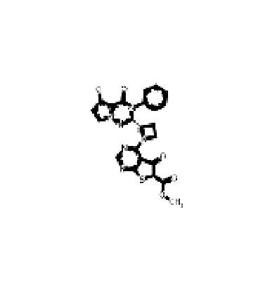 COC(=O)C1Sc2ncnc(N3CC[C@H]3c3nn4ccc(Cl)c4c(=O)n3-c3ccccc3)c2C1=O